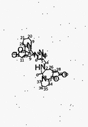 C[C@H]1C(NCc2cn(C3CC4=CC(=O)OC45CC3N3CCCCC35)nn2)CC2=CC(=O)OC2C2CCCCN21